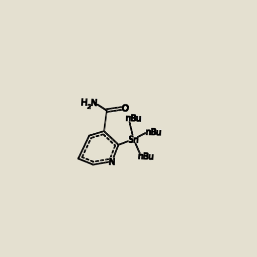 CCC[CH2][Sn]([CH2]CCC)([CH2]CCC)[c]1ncccc1C(N)=O